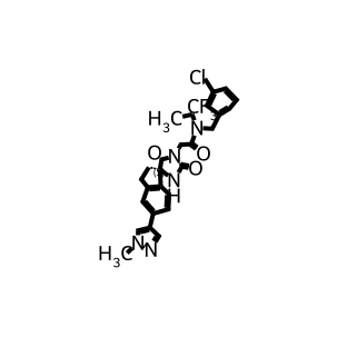 CC(N(Cc1cccc(Cl)c1)C(=O)CN1C(=O)N[C@]2(CCc3cc(-c4cnn(C)c4)ccc32)C1=O)C(F)(F)F